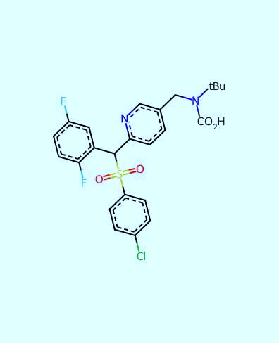 CC(C)(C)N(Cc1ccc(C(c2cc(F)ccc2F)S(=O)(=O)c2ccc(Cl)cc2)nc1)C(=O)O